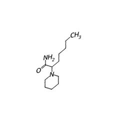 CCCCCC(C(N)=O)N1CCCCC1